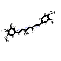 COc1cc(/C=C/C(=O)/C=C(O)/C=C/c2cc(C)c(O)c(OC)c2)ccc1O